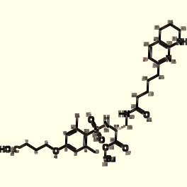 Cc1cc(OCCCC(=O)O)cc(C)c1S(=O)(=O)N[C@H](CNC(=O)CCCCc1ccc2c(n1)NCCC2)C(=O)OC(C)(C)C